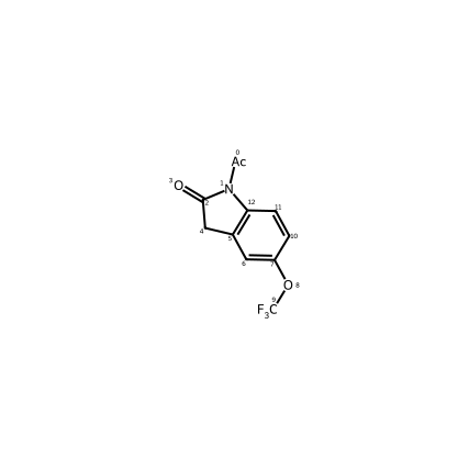 CC(=O)N1C(=O)Cc2cc(OC(F)(F)F)ccc21